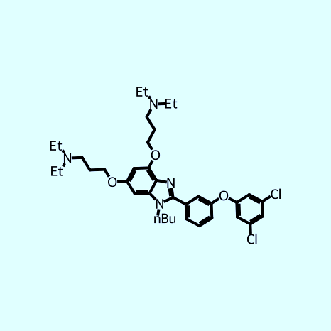 CCCCn1c(-c2cccc(Oc3cc(Cl)cc(Cl)c3)c2)nc2c(OCCCN(CC)CC)cc(OCCCN(CC)CC)cc21